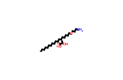 CC(O)C(=O)O.CCCCCCCCCCCCCCCCCCOCCCN